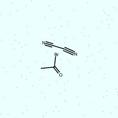 CC(=O)Br.N#CC#N